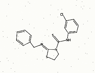 S=C(Nc1cccc(Cl)c1)N1CCSC1=NCc1ccccc1